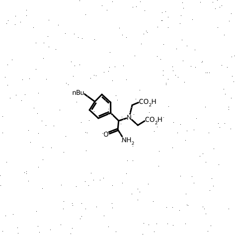 CCCCc1ccc(C(C(N)=O)N(CC(=O)O)CC(=O)O)cc1